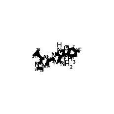 CC1(c2ccc(F)cc2)C(=O)Nc2nc(-c3cn4ccnc4c(C4CC4)n3)nc(N)c21